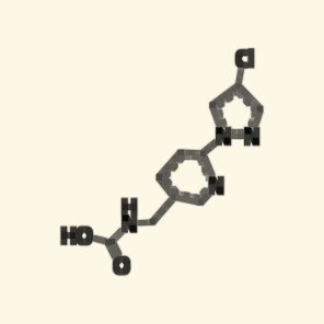 O=C(O)NCc1ccc(-n2cc(Cl)cn2)nc1